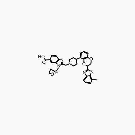 Cc1cccc2nc(C3COc4cccc(C5CCN(Cc6nc7ccc(C(=O)O)cc7n6C[C@@H]6CCO6)CC5)c4O3)sc12